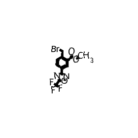 COC(=O)c1cc(-c2noc(C(F)(F)F)n2)ccc1CBr